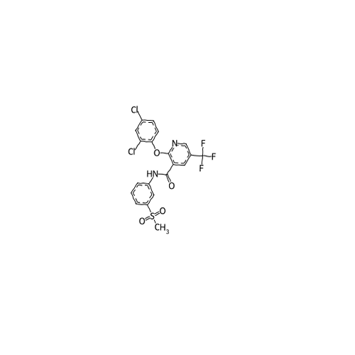 CS(=O)(=O)c1cccc(NC(=O)c2cc(C(F)(F)F)cnc2Oc2ccc(Cl)cc2Cl)c1